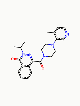 Cc1ccncc1N1CCN(C(=O)c2nn(C(C)C)c(=O)c3ccccc23)CC1